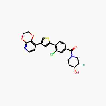 O=C(c1ccc(-c2cc(-c3ccnc4c3OCCO4)cs2)c(Cl)c1)N1CC[C@H](O)[C@@H](F)C1